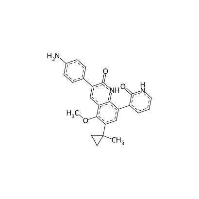 COc1c(C2(C)CC2)cc(-c2ccc[nH]c2=O)c2[nH]c(=O)c(-c3ccc(N)cc3)cc12